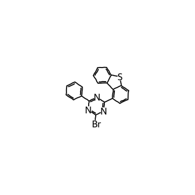 Brc1nc(-c2ccccc2)nc(-c2cccc3sc4ccccc4c23)n1